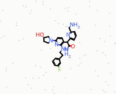 NCc1cccc(C(C(N)=O)c2ccc(N3CC[C@H](O)C3)nc2NCCc2cccc(F)c2)n1